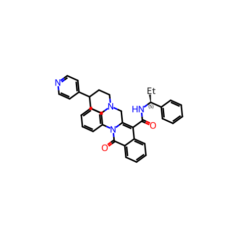 CC[C@H](NC(=O)c1c(CN2CCC(c3ccncc3)CC2)n(-c2ccccc2)c(=O)c2ccccc12)c1ccccc1